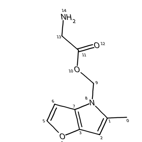 Cc1cc2occc2n1COC(=O)CN